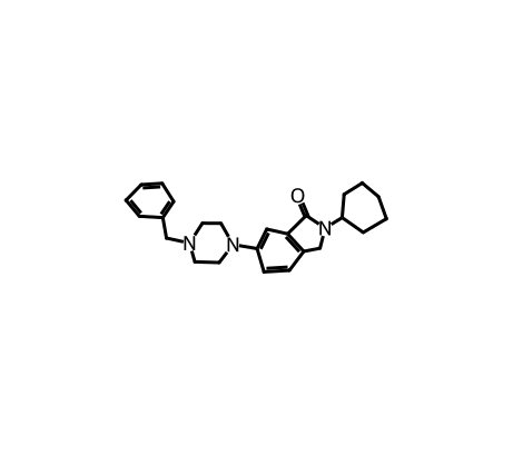 O=C1c2cc(N3CCN(Cc4ccccc4)CC3)ccc2CN1C1CCCCC1